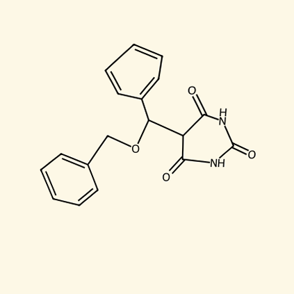 O=C1NC(=O)C(C(OCc2ccccc2)c2ccccc2)C(=O)N1